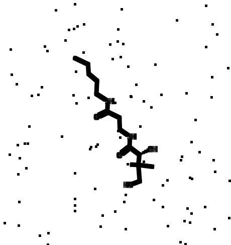 CCCCCNC(=O)CCNC(=O)[C@H](O)C(C)(C)CO